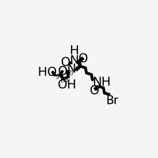 O=C(CCCBr)NCCCCc1cn([C@H]2C[C@H](O)[C@@H](CO)O2)c(=O)[nH]c1=O